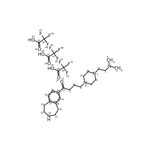 CN(C)CCN1CCN(CCCC(=O)c2ccc3c(c2)CCNCC3)CC1.O=C(O)C(F)(F)F.O=C(O)C(F)(F)F.O=C(O)C(F)(F)F